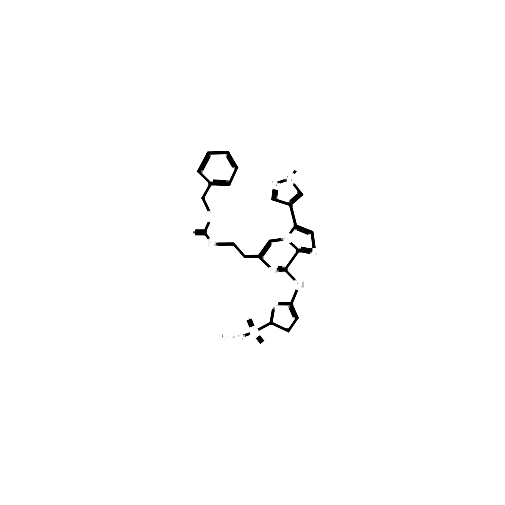 CNS(=O)(=O)C1CC=C(Nc2nc(CCNC(=O)OCc3ccccc3)cn3c(-c4cnn(C)c4)cnc23)S1